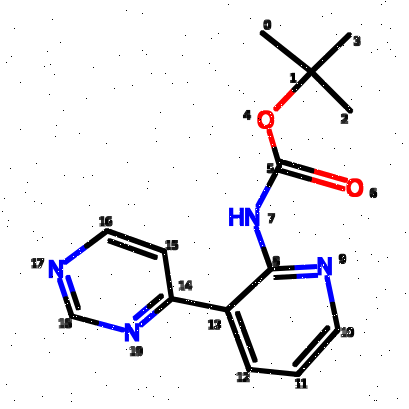 CC(C)(C)OC(=O)Nc1ncccc1-c1ccncn1